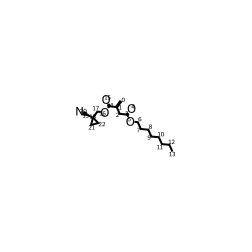 C=C(CC(=O)OCCCCCCCC)C(=O)OCC1(C#N)CC1